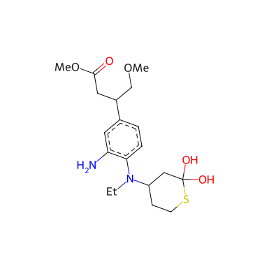 CCN(c1ccc(C(COC)CC(=O)OC)cc1N)C1CCSC(O)(O)C1